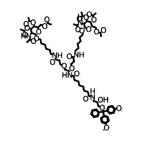 COc1ccc(C(OCC(O)CNC(=O)CCCCCCC(=O)NC(COCCC(=O)NCCCCCCOC2OC(COC(C)=O)C(OC(C)=O)C(OC(C)=O)C2NC(C)=O)OCCC(=O)NCCCCCCOC2OC(COC(C)=O)C(OC(C)=O)C(OC(C)=O)C2NC(C)=O)(c2ccccc2)c2ccc(OC)cc2)cc1